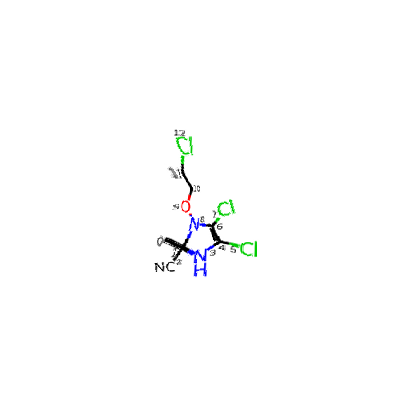 CC1(C#N)NC(Cl)=C(Cl)N1OCCCl